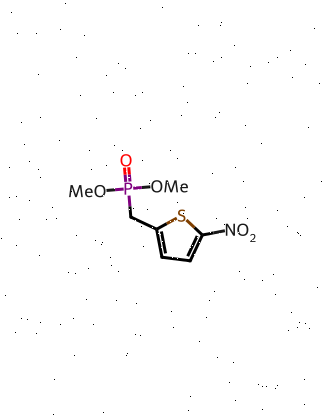 COP(=O)(Cc1ccc([N+](=O)[O-])s1)OC